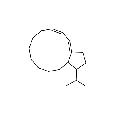 CC(C)C1CCC2=CC=CCCCCCCCC21